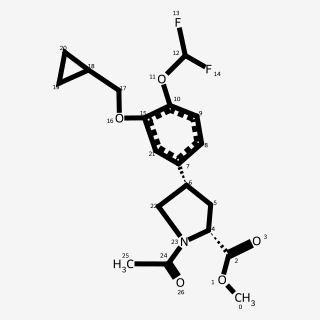 COC(=O)[C@H]1C[C@@H](c2ccc(OC(F)F)c(OCC3CC3)c2)CN1C(C)=O